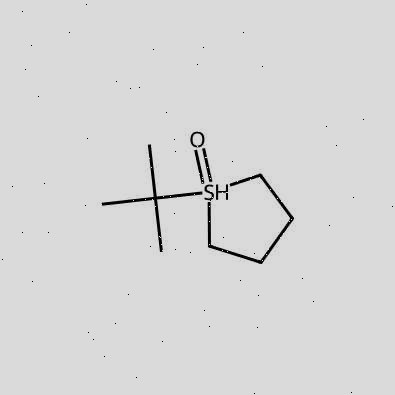 CC(C)(C)[SH]1(=O)CCCC1